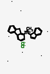 [CH2]=[Zr+2]([c]1cccc2c1Cc1ccccc1-2)[CH]1C=Cc2ccccc21.[Cl-].[Cl-]